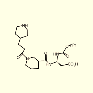 CCCOC(=O)N[C@@H](CC(=O)O)NC(=O)[C@@H]1CCCN(C(=O)CCC2CCNCC2)C1